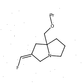 CC(C)OCC12CCCN1C/C(=C\F)C2